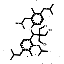 Cc1c(CC(C)C)ccc(OC(c2ccc(CC(C)C)c(C)c2CC(C)C)C(CO)(CO)CO)c1CC(C)C